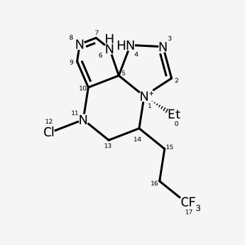 CC[N@@+]12C=NNC13NC=NC=C3N(Cl)CC2CCC(F)(F)F